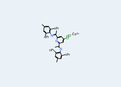 CCCc1cc(C)cc(CCC)c1N=C(C)c1cc(Cl)cc(C(C)=Nc2c(CCC)cc(C)cc2CCC)n1.[Cl-].[Cl-].[Co+2]